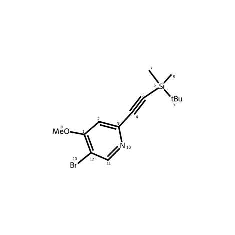 COc1cc(C#C[Si](C)(C)C(C)(C)C)ncc1Br